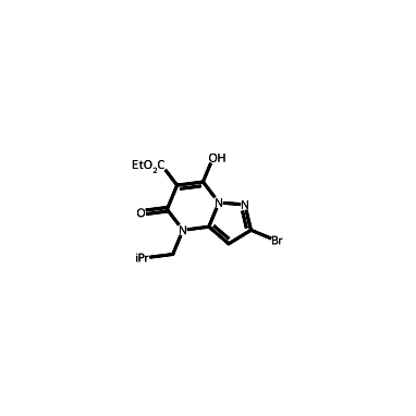 CCOC(=O)c1c(O)n2nc(Br)cc2n(CC(C)C)c1=O